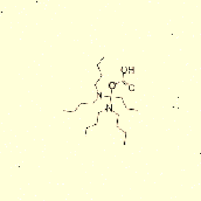 CCCCN(CCCC)C(CCC)(OC(=O)O)N(CCCC)CCCC